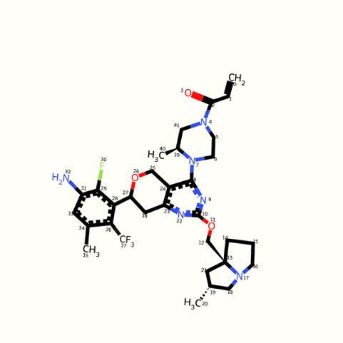 C=CC(=O)N1CCN(c2nc(OC[C@@]34CCCN3C[C@H](C)C4)nc3c2COC(c2c(F)c(N)cc(C)c2C(F)(F)F)C3)[C@@H](C)C1